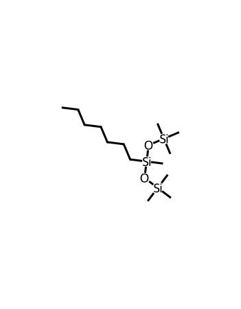 CCCCCCC[Si](C)(O[Si](C)(C)C)O[Si](C)(C)C